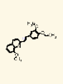 CCOc1ccc(/C=C/c2ccc3cccc(OC)c3n2)cc1OC